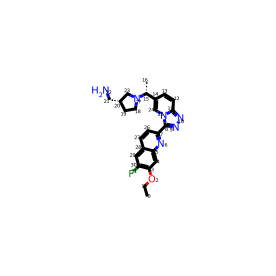 CCOc1cc2nc(-c3nnc4ccc([C@@H](C)N5CC[C@H](CN)C5)cn34)ccc2cc1F